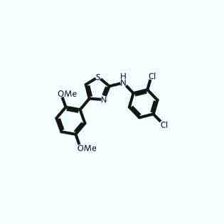 COc1ccc(OC)c(-c2csc(Nc3ccc(Cl)cc3Cl)n2)c1